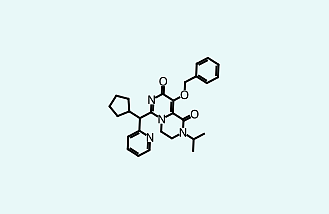 CC(C)N1CCn2c(C(c3ccccn3)C3CCCC3)nc(=O)c(OCc3ccccc3)c2C1=O